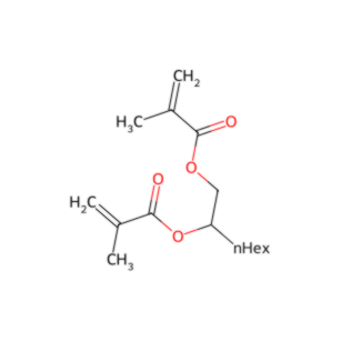 C=C(C)C(=O)OCC(CCCCCC)OC(=O)C(=C)C